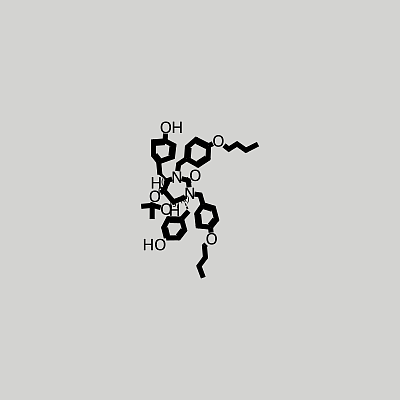 CCCCOc1ccc(CN2C(=O)N(Cc3ccc(OCCCC)cc3)[C@H](Cc3ccc(O)cc3)[C@@H]3OC(C)(C)O[C@H]3[C@H]2Cc2ccc(O)cc2)cc1